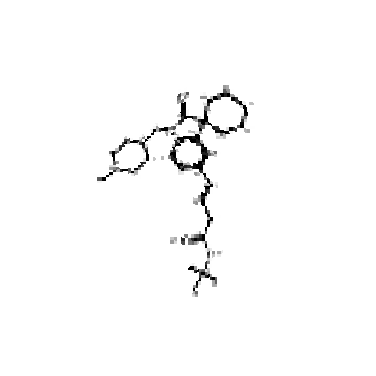 CN1CCC(COC(=O)C2(c3cccc(C=CCC(=O)OC(C)(C)C)c3)CCCCC2)CC1